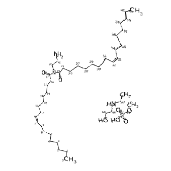 CCCCCCCC/C=C\CCCCCCCC(=O)N(CCN)C(=O)CCCCCCC/C=C\CCCCCCCC.CCNCCO.COS(=O)(=O)O